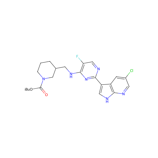 CC(C)COC(=O)N1CCCC(CNc2nc(-c3c[nH]c4ncc(Cl)cc34)ncc2F)C1